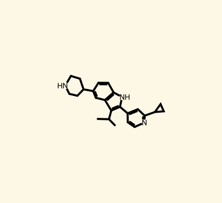 CC(C)c1c(-c2ccnc(C3CC3)c2)[nH]c2ccc(C3CCNCC3)cc12